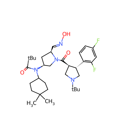 CC1(C)CCC(N(C(=O)C(C)(C)C)[C@H]2C[C@@H](/C=N/O)N(C(=O)[C@@H]3CN(C(C)(C)C)C[C@H]3c3ccc(F)cc3F)C2)CC1